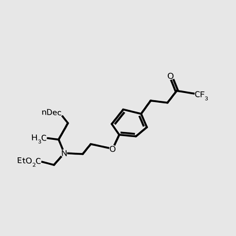 CCCCCCCCCCCC(C)N(CCOc1ccc(CCC(=O)C(F)(F)F)cc1)CC(=O)OCC